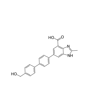 Cc1nc2c(C(=O)O)cc(-c3ccc(-c4ccc(CO)cc4)cc3)cc2[nH]1